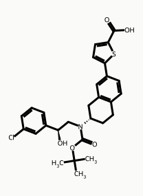 CC(C)(C)OC(=O)N(C[C@@H](O)c1cccc(Cl)c1)[C@H]1CCc2ccc(-c3ccc(C(=O)O)s3)cc2C1